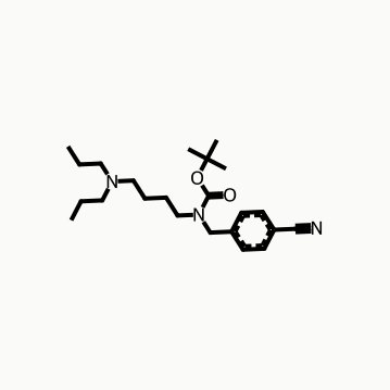 CCCN(CCC)CCCCN(Cc1ccc(C#N)cc1)C(=O)OC(C)(C)C